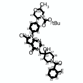 C[C@H]1CN(C(=O)OC(C)(C)C)[C@H](c2ccc(-n3c(Cl)cc4c(=O)n(CC5(O)CCN(C(=O)c6ccccc6F)CC5)cnc43)cc2)CO1